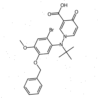 COc1cc(Br)c(N(n2ccc(=O)c(C(=O)O)c2)C(C)(C)C)cc1OCc1ccccc1